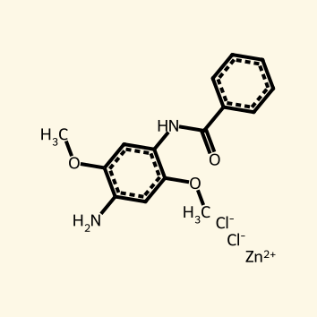 COc1cc(NC(=O)c2ccccc2)c(OC)cc1N.[Cl-].[Cl-].[Zn+2]